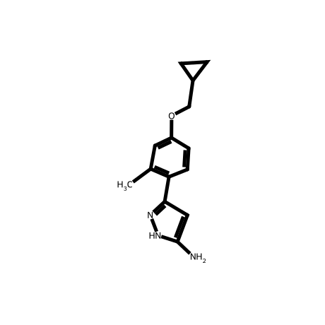 Cc1cc(OCC2CC2)ccc1-c1cc(N)[nH]n1